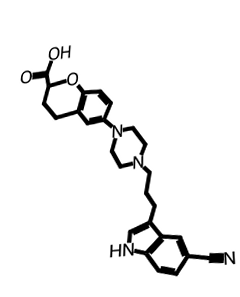 N#Cc1ccc2[nH]cc(CCCN3CCN(c4ccc5c(c4)CCC(C(=O)O)O5)CC3)c2c1